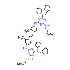 COCCNc1nc(Nc2ccc(C=Cc3ccc(Nc4nc(NCCOC)nc(N(Cc5ccccc5)c5ccccc5)n4)cc3C)c(C)c2)nc(N(Cc2ccccc2)c2ccccc2)n1